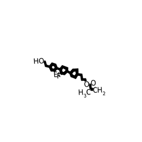 C=C(C)C(=O)OCCCc1ccc(-c2ccc(-c3ccc(CCO)cc3CC)c(F)c2)cc1